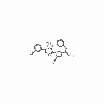 C=C(Nc1ccccc1)C1CC(C#N)N(C(=O)CN(C)C(=O)c2cccc(Cl)c2)C1